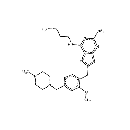 CCCCNc1nc(N)nc2cn(Cc3ccc(CN4CCN(C)CC4)cc3OC)nc12